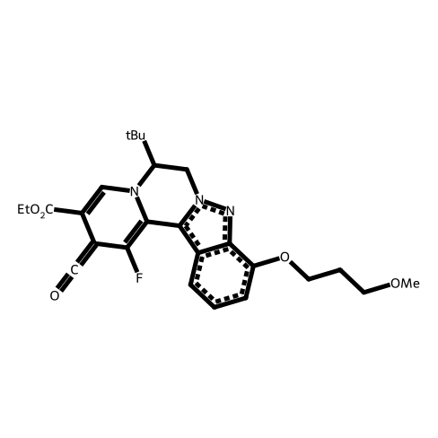 CCOC(=O)C1=CN2C(=C(F)C1=C=O)c1c3cccc(OCCCOC)c3nn1CC2C(C)(C)C